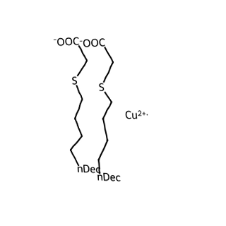 CCCCCCCCCCCCCCSCC(=O)[O-].CCCCCCCCCCCCCCSCC(=O)[O-].[Cu+2]